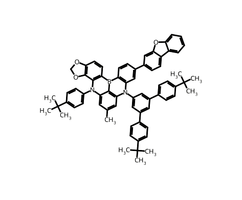 Cc1cc2c3c(c1)N(c1ccc(C(C)(C)C)cc1)c1c(ccc4c1OCO4)B3c1ccc(-c3ccc4c(c3)oc3ccccc34)cc1N2c1cc(-c2ccc(C(C)(C)C)cc2)cc(-c2ccc(C(C)(C)C)cc2)c1